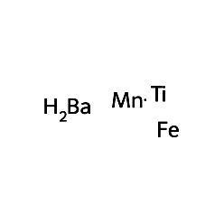 [BaH2].[Fe].[Mn].[Ti]